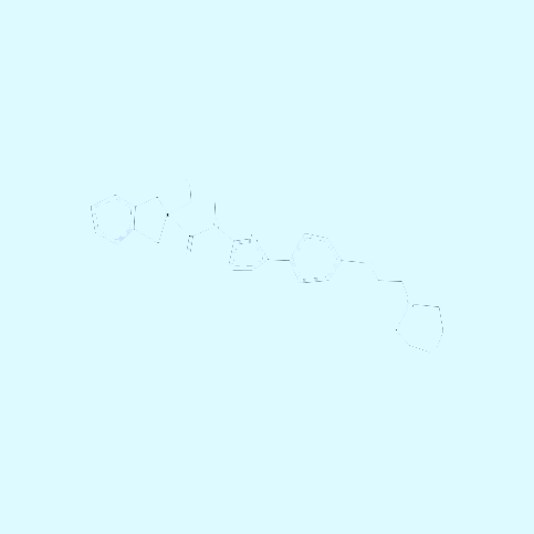 CN(C(=O)C1(CC(=O)O)Cc2ccccc2C1)c1nc(-c2ccc(OCCN3CCOCC3)cc2)cs1